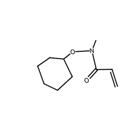 C=CC(=O)N(C)OC1CCCCC1